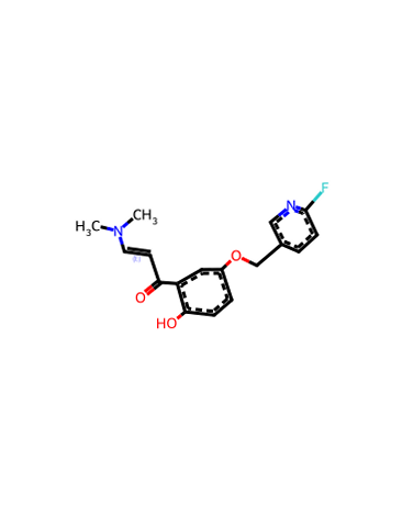 CN(C)/C=C/C(=O)c1cc(OCc2ccc(F)nc2)ccc1O